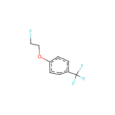 FCCOc1ccc(C(F)(F)F)cc1